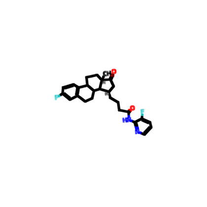 C[C@]12CCC3c4ccc(F)cc4CCC3C1[C@H](CCCC(=O)Nc1ncccc1F)CC2=O